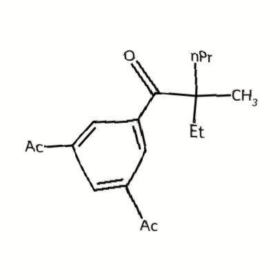 CCCC(C)(CC)C(=O)c1cc(C(C)=O)cc(C(C)=O)c1